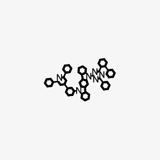 c1ccc(-c2cc(-c3cccc(-n4c5ccccc5c5cc6c(cc54)c4ccccc4n6-c4nc(-c5ccccc5)nc(-c5ccccc5-c5ccccc5)n4)c3)cc(-c3ccccc3)n2)cc1